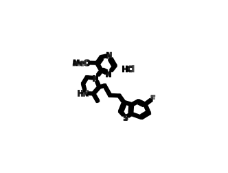 COc1cncnc1N1CCNC(C)C1CCCc1csc2ccc(F)cc12.Cl